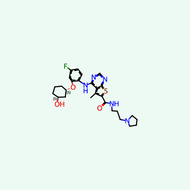 Cc1c(C(=O)NCCCN2CCCC2)sc2ncnc(Nc3ccc(F)cc3O[C@H]3CCC[C@H](O)C3)c12